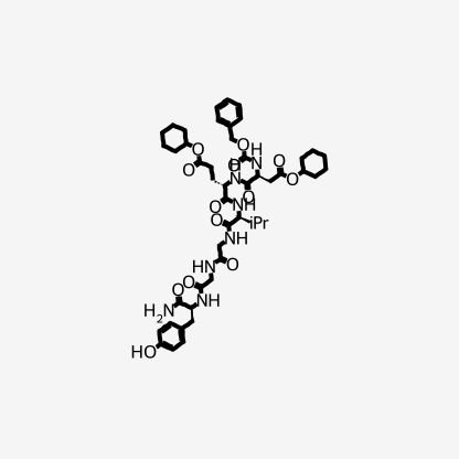 CC(C)[C@H](NC(=O)[C@H](CCC(=O)OC1CCCCC1)NC(=O)[C@H](CC(=O)OC1CCCCC1)NC(=O)OCc1ccccc1)C(=O)NCC(=O)NCC(=O)N[C@@H](Cc1ccc(O)cc1)C(N)=O